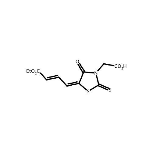 CCOC(=O)C=CC=C1SC(=S)N(CC(=O)O)C1=O